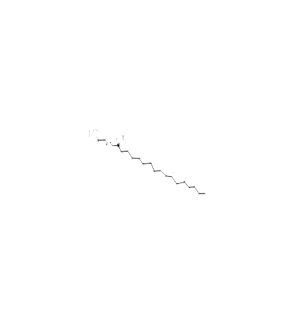 CCCCCCCCCCCCCCCCC(=O)OCCO